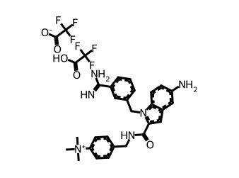 C[N+](C)(C)c1ccc(CNC(=O)c2cc3cc(N)ccc3n2Cc2cccc(C(=N)N)c2)cc1.O=C(O)C(F)(F)F.O=C([O-])C(F)(F)F